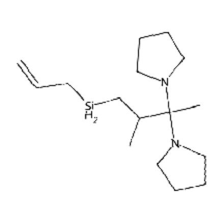 C=CC[SiH2]CC(C)C(C)(N1CCCC1)N1CCCC1